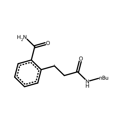 CCCCNC(=O)C[CH]c1ccccc1C(N)=O